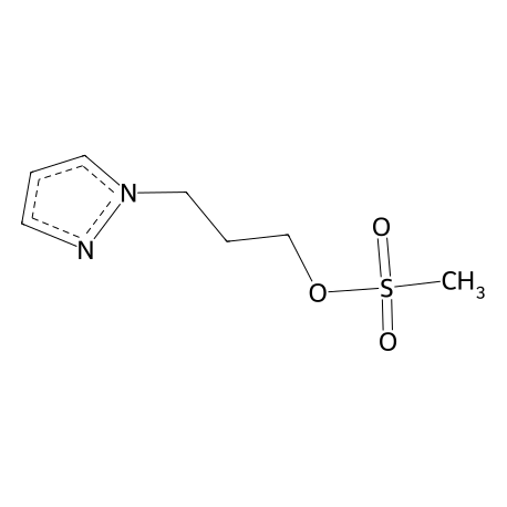 CS(=O)(=O)OCCCn1cccn1